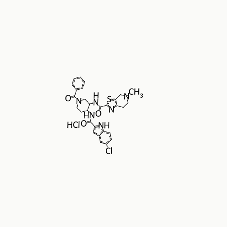 CN1CCc2nc(C(=O)N[C@@H]3CN(C(=O)c4ccccc4)CC[C@@H]3NC(=O)c3cc4cc(Cl)ccc4[nH]3)sc2C1.Cl